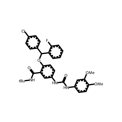 COc1ccc(NC(=O)Nc2ccc(OC(c3ccc(Cl)cc3)c3ccccc3F)c(C(=O)NC(C)(C)C)c2)cc1OC